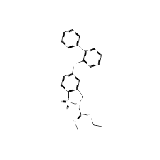 CCS/C(=N\C)N1Cc2cc(Oc3ccccc3-c3ccccc3)ccc2S1(=O)=O